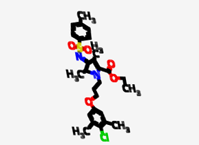 CCOC(=O)C1=C(C)C(=NS(=O)(=O)c2ccc(C)cc2)C(C)N1CCCOc1cc(C)c(Cl)c(C)c1